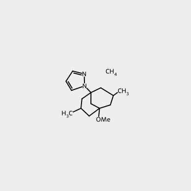 C.COC12CC(C)CC(n3cccn3)(CC(C)C1)C2